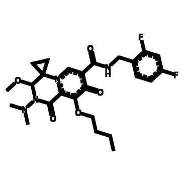 CCCCOc1c2n(cc(C(=O)NCc3ccc(F)cc3F)c1=O)C1(CC1)C(OC)N(N(C)C)C2=O